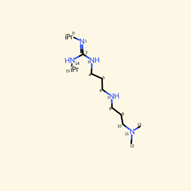 CC(C)N=C(NCCCNCCCN(C)C)NC(C)C